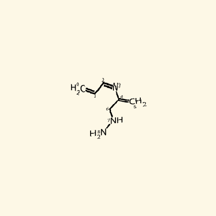 C=C/C=N\C(=C)CNN